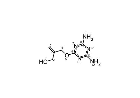 C=C(CO)COc1nc(N)nc(N)n1